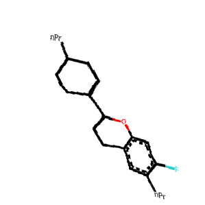 CCCc1cc2c(cc1F)OC(C1CCC(CCC)CC1)CC2